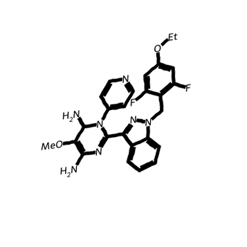 CCOc1cc(F)c(Cn2nc(C3=NC(N)=C(OC)C(N)N3c3ccncc3)c3ccccc32)c(F)c1